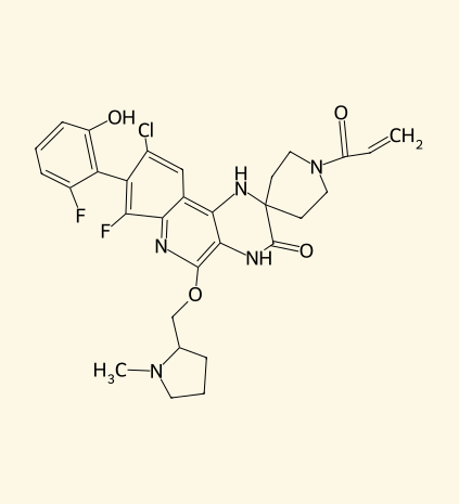 C=CC(=O)N1CCC2(CC1)Nc1c(c(OCC3CCCN3C)nc3c(F)c(-c4c(O)cccc4F)c(Cl)cc13)NC2=O